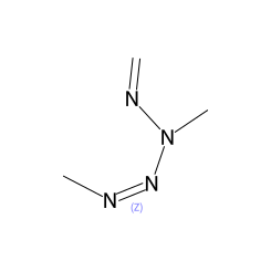 C=NN(C)/N=N\C